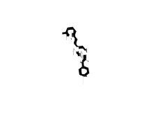 Cc1cccc(/C=C/c2cc(=O)n3nc(-c4ccc(F)cc4)sc3n2)n1